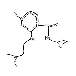 Cc1ccc(C(=O)NC2CC2)c(NCCN(C)C)c1